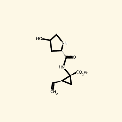 C=C[C@@H]1C[C@]1(NC(=O)[C@@H]1CC(O)CN1)C(=O)OCC